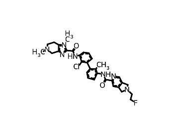 Cc1c(NC(=O)c2cc3c(cn2)CN(CCF)C3)cccc1-c1cccc(NC(=O)c2nc3c(n2C)CCN(C)C3)c1Cl